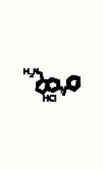 CN(c1ccccc1)c1ccc2c(c1)CCC=C2CN.Cl